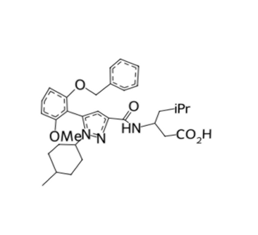 COc1cccc(OCc2ccccc2)c1-c1cc(C(=O)NC(CC(=O)O)CC(C)C)nn1C1CCC(C)CC1